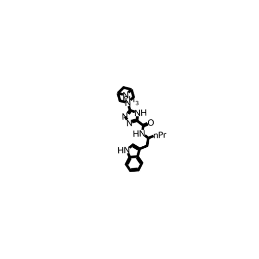 CCCC(Cc1c[nH]c2ccccc12)NC(=O)c1nnc(N2CC3CC(C2)N3C)[nH]1